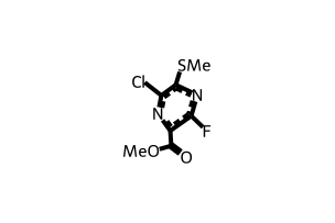 COC(=O)c1nc(Cl)c(SC)nc1F